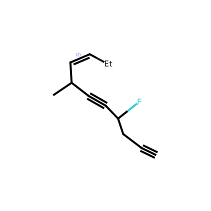 C#CCC(F)C#CC(C)/C=C\CC